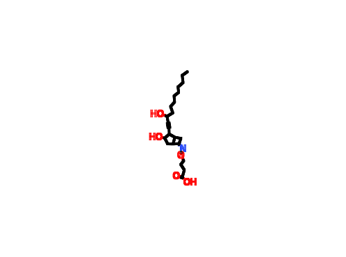 CCCCCCCCCC(O)C#CC1C(O)CC2C(=NOCCCC(=O)O)CC21